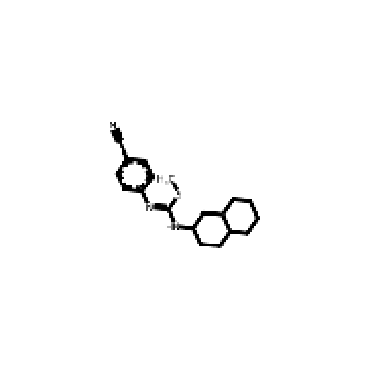 CSC(=Nc1ccc(C#N)cc1)NC1CCC2CCCCC2C1